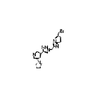 BrCc1ccc2nc(Cn3cc(-c4cncc(N5CCCC5)c4)nn3)cn2c1